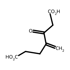 C=C(CCC(=O)O)C(=O)CC(=O)O